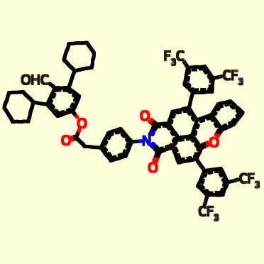 O=Cc1c(C2CCCCC2)cc(OC(=O)Cc2ccc(-n3c(=O)c4cc(-c5cc(C(F)(F)F)cc(C(F)(F)F)c5)c5oc6ccccc6c6c(-c7cc(C(F)(F)F)cc(C(F)(F)F)c7)cc(c3=O)c4c56)cc2)cc1C1CCCCC1